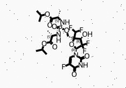 CC(C)OC(=O)[C@H](C)NP(=O)(N[C@@H](C)C(=O)OC(C)C)OC[C@@]1(C(F)F)O[C@@H](n2cc(F)c(=O)[nH]c2=O)C(F)(F)[C@@H]1O